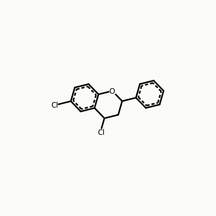 Clc1ccc2c(c1)C(Cl)CC(c1ccccc1)O2